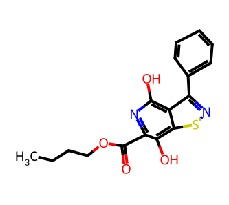 CCCCOC(=O)c1nc(O)c2c(-c3ccccc3)nsc2c1O